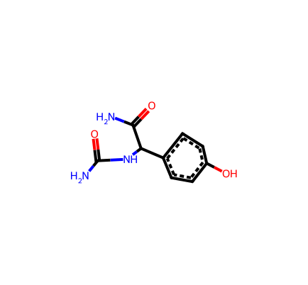 NC(=O)NC(C(N)=O)c1ccc(O)cc1